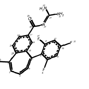 CC1=CC=C=C(c2c(F)cc(F)cc2F)c2cc(C(=O)N=C(N)N)ccc21